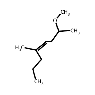 CCC/C(C)=C\CC(C)OC